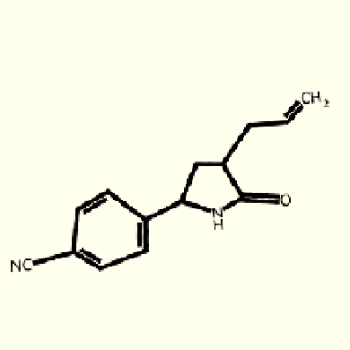 C=CCC1CC(c2ccc(C#N)cc2)NC1=O